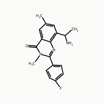 Cc1cc(C(C)N)c2nc(-c3ccc(F)cc3)n(C)c(=O)c2c1